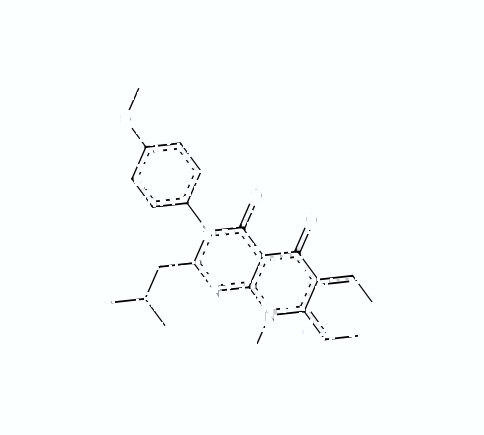 C/C=c1/c(=O)c2c(=O)n(-c3ccc(OC)cc3)c(CC(C)C)nc2n(C)/c1=C/C